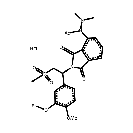 CCOc1cc(C(CS(C)(=O)=O)N2C(=O)c3cccc(N(C(C)=O)N(C)C)c3C2=O)ccc1OC.Cl